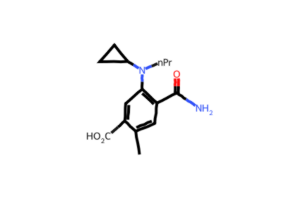 CCCN(c1cc(C(=O)O)c(C)cc1C(N)=O)C1CC1